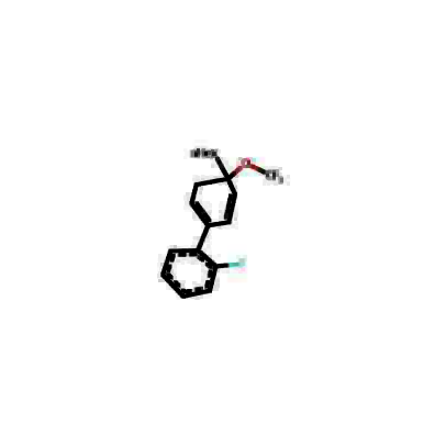 CCCCCCC1(OC(F)(F)F)C=CC(c2ccccc2F)=CC1